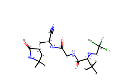 CC1(C)C[C@@H](C[C@@H](C#N)NC(=O)CNC(=O)[C@@H](NCC(F)(F)F)C(C)(C)C)C(=O)N1